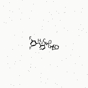 CN(C(=O)OC1CC2CCC(C1)N2)c1ccsc1Cc1cc(F)cc(F)c1